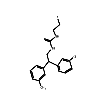 Cc1cccc(C(CNC(=O)NCCF)c2cccc(Cl)c2)c1